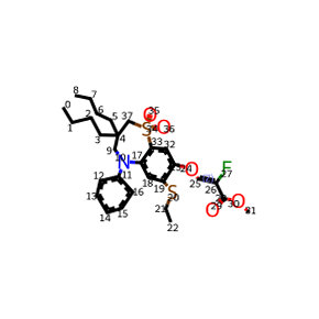 CCCCC1(CCCC)CN(c2ccccc2)c2cc(SCC)c(O/C=C(\F)C(=O)OC)cc2S(=O)(=O)C1